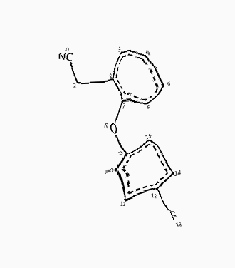 N#CCc1ccccc1Oc1ccc(F)cc1